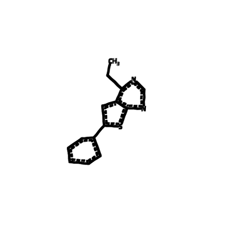 CCc1ncnc2sc(-c3ccccc3)cc12